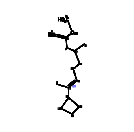 C/C(=C\CCC(C)CC(=N)OC(=O)O)C1CCC1